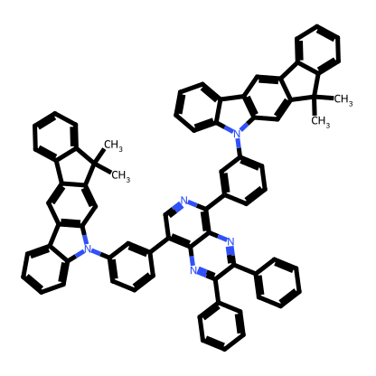 CC1(C)c2ccccc2-c2cc3c4ccccc4n(-c4cccc(-c5cnc(-c6cccc(-n7c8ccccc8c8cc9c(cc87)C(C)(C)c7ccccc7-9)c6)c6nc(-c7ccccc7)c(-c7ccccc7)nc56)c4)c3cc21